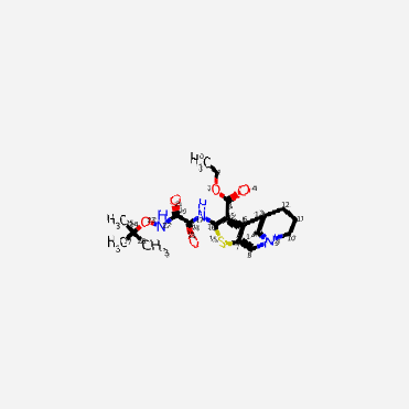 CCOC(=O)C1=C2C(=CN3CCCC2C3)SC1NC(=O)C(=O)NOC(C)(C)C